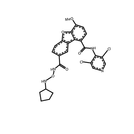 COc1ccc(C(=O)Nc2c(Cl)cncc2Cl)c2c1oc1ccc(C(=O)NONC3CCCC3)cc12